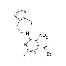 CCOc1nc(C)nc(N2CCc3ccsc3CC2)c1[N+](=O)[O-]